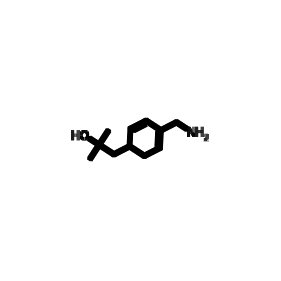 CC(C)(O)CC1C=CC(CN)=CC1